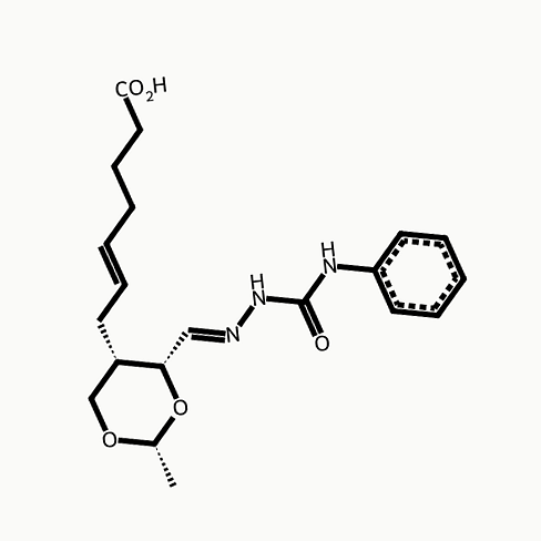 C[C@@H]1OC[C@H](CC=CCCCC(=O)O)[C@H](C=NNC(=O)Nc2ccccc2)O1